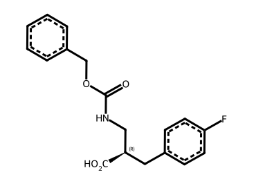 O=C(NC[C@@H](Cc1ccc(F)cc1)C(=O)O)OCc1ccccc1